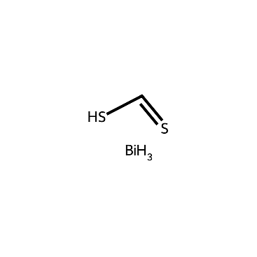 S=CS.[BiH3]